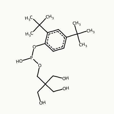 CC(C)(C)c1ccc(OP(O)OCC(CO)(CO)CO)c(C(C)(C)C)c1